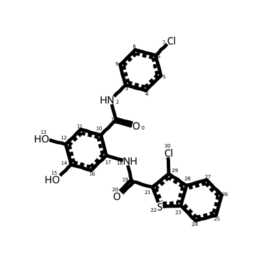 O=C(Nc1ccc(Cl)cc1)c1cc(O)c(O)cc1NC(=O)c1sc2ccccc2c1Cl